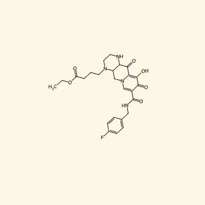 CCOC(=O)CCCN1CCNC2C(=O)c3c(O)c(=O)c(C(=O)NCc4ccc(F)cc4)cn3CC21